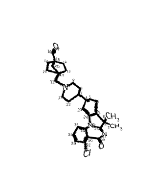 CC1(C)c2ccc(C3CCN(CC45CCC(C=O)(CC4)C5)CC3)cc2-n2c1nc(=O)c1c(Cl)cccc12